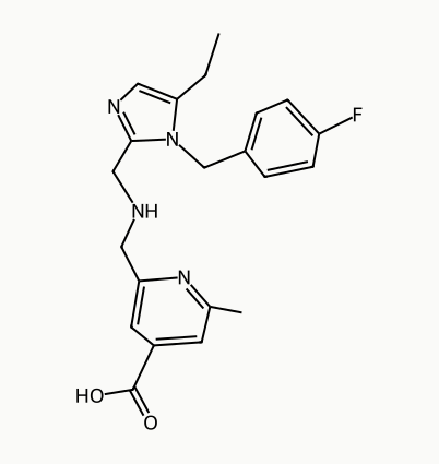 CCc1cnc(CNCc2cc(C(=O)O)cc(C)n2)n1Cc1ccc(F)cc1